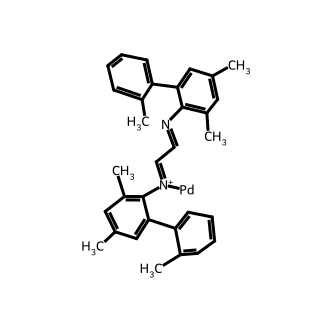 Cc1cc(C)c(N=CC=[N+]([Pd])c2c(C)cc(C)cc2-c2ccccc2C)c(-c2ccccc2C)c1